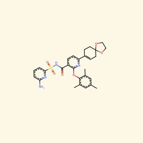 Cc1cc(C)c(Oc2nc(C3=CCC4(CC3)OCCO4)ccc2C(=O)NS(=O)(=O)c2cccc(N)n2)c(C)c1